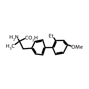 CCc1cc(OC)ccc1-c1ccc(CC(C)(N)C(=O)O)cc1